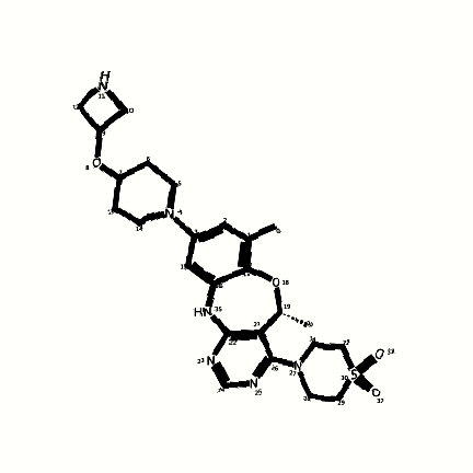 Cc1cc(N2CCC(OC3CNC3)CC2)cc2c1O[C@H](C)c1c(ncnc1N1CCS(=O)(=O)CC1)N2